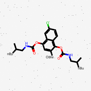 CCCCC(C)CNC(=O)Oc1cc(OC)c(OC(=O)NCC(C)CCCC)c2ccc(Cl)cc12